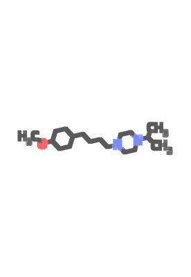 COC1CCC(CCCCN2CCN(C(C)C)CC2)CC1